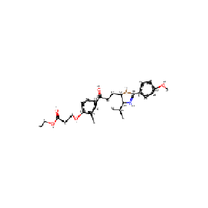 CCOC(=O)CCOc1ccc(C(=O)CCC2SC(c3ccc(OC)cc3)=NC2C(C)C)cc1C